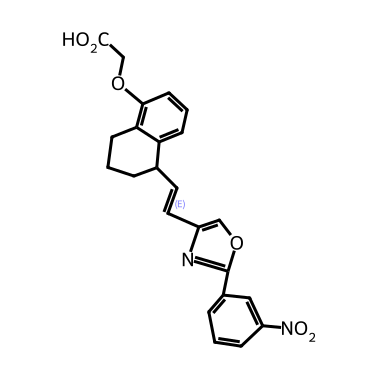 O=C(O)COc1cccc2c1CCCC2/C=C/c1coc(-c2cccc([N+](=O)[O-])c2)n1